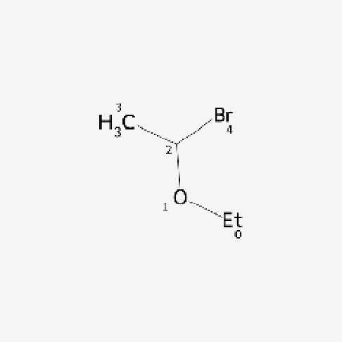 [CH2]COC(C)Br